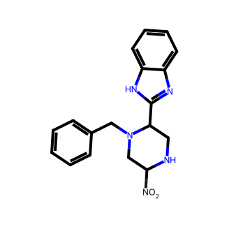 O=[N+]([O-])C1CN(Cc2ccccc2)C(c2nc3ccccc3[nH]2)CN1